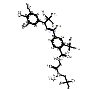 CN(CC(F)(F)F)C(=O)CNC(=O)c1ccc(/C(F)=C/C(c2cc(Br)c(Cl)c(Br)c2)C(F)(F)F)cc1C(F)(F)F